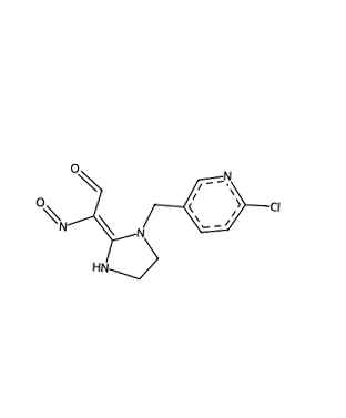 O=C/C(N=O)=C1/NCCN1Cc1ccc(Cl)nc1